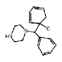 ClC1(C(c2ccccc2)N2CCNCC2)C=CC=CC1